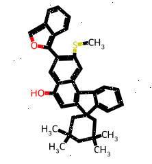 CSc1cc2c3c(cc(O)c2cc1-c1occ2ccccc12)C1(CC(C)(C)CC(C)(C)C1)c1ccccc1-3